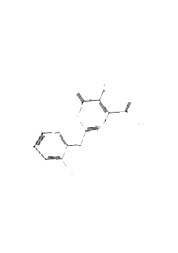 CNC(=O)c1nc(Cc2ccccc2Br)[nH]c(=O)c1O